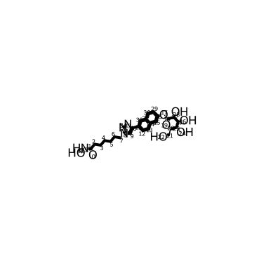 O=C(CCCCCCn1cc(-c2ccc3cc(O[C@H]4O[C@H](CO)[C@@H](O)[C@H](O)[C@@H]4O)ccc3c2)nn1)NO